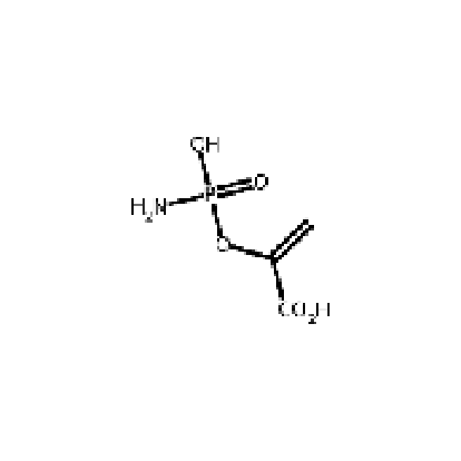 C=C(OP(N)(=O)O)C(=O)O